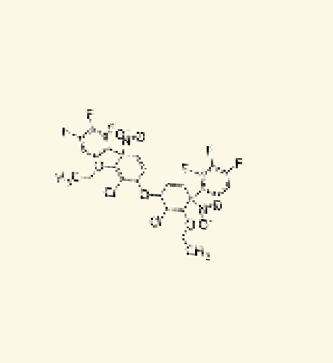 CCOC1=C(Cl)C(OC2C=CC(c3ccc(F)c(F)c3F)([N+](=O)[O-])C(OCC)=C2Cl)C=CC1(c1ccc(F)c(F)c1F)[N+](=O)[O-]